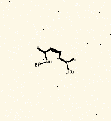 CCNC(C)/C=C\C[C@@H](C)C(C)CC